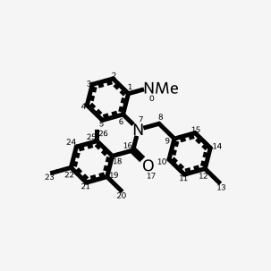 CNc1ccccc1N(Cc1ccc(C)cc1)C(=O)c1c(C)cc(C)cc1C